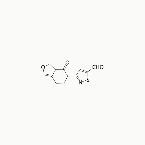 O=Cc1cc(C2C=CC3=COCC3C2=O)ns1